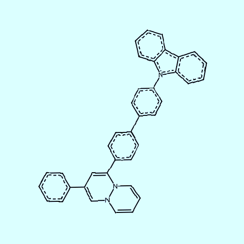 C1=CN2C=C(c3ccccc3)C=C(c3ccc(-c4ccc(-n5c6ccccc6c6ccccc65)cc4)cc3)N2C=C1